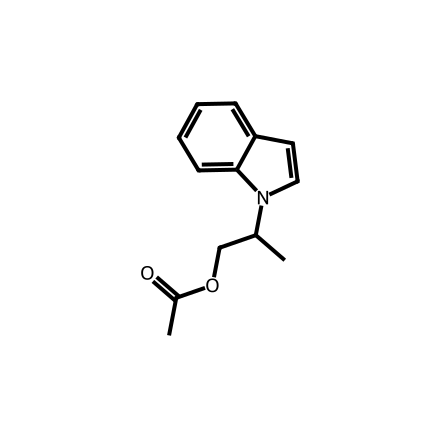 CC(=O)OCC(C)n1ccc2ccccc21